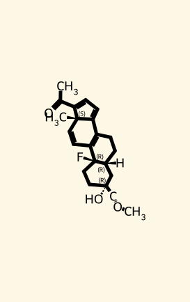 COC[C@@]1(O)CC[C@]2(F)C3=C(CC[C@@H]2C1)C1=CC=C(C(C)=O)[C@@]1(C)C=C3